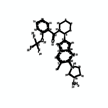 Cc1cn2nc([C@@H]3CCCCN3C(=O)c3ccccc3OC(F)(F)F)cc2nc1N1CC[C@H](N)C1